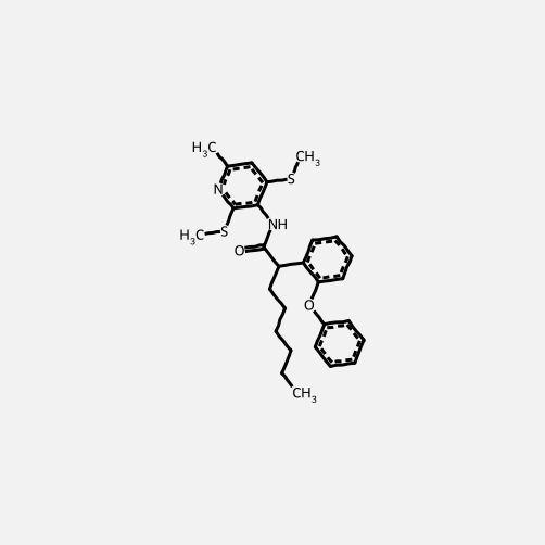 CCCCCCC(C(=O)Nc1c(SC)cc(C)nc1SC)c1ccccc1Oc1ccccc1